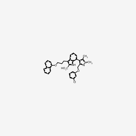 Cc1c(-c2cccc3c(CCCOc4cccc5ccccc45)c(C(=O)O)[nH]c23)c(COc2cccc(Cl)c2)nn1C